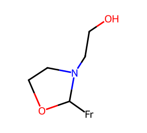 OCCN1CCO[CH]1[Fr]